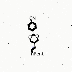 CCCCC/C=C/[C@H]1CO[C@H](c2ccc(C#N)cc2)OC1